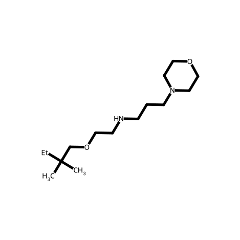 CCC(C)(C)COCCNCCCN1CCOCC1